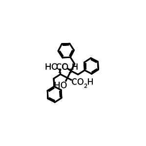 O=C(O)C(Cc1ccccc1)C(O)(C(=O)O)C(Cc1ccccc1)(Cc1ccccc1)C(=O)O